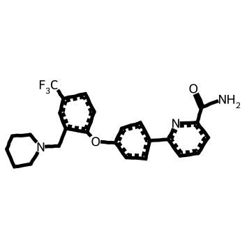 NC(=O)c1cccc(-c2ccc(Oc3ccc(C(F)(F)F)cc3CN3CCCCC3)cc2)n1